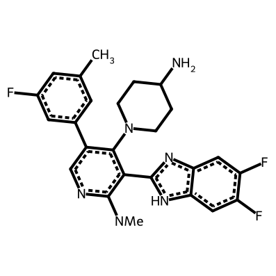 CNc1ncc(-c2cc(C)cc(F)c2)c(N2CCC(N)CC2)c1-c1nc2cc(F)c(F)cc2[nH]1